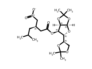 CC(C)C[C@H](CC(=O)O[C@H]1[C@H]2OC(C)(C)O[C@H]2O[C@@H]1[C@H]1COC(C)(C)O1)C[N+](=O)[O-]